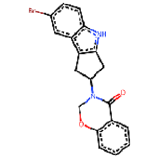 O=C1c2ccccc2OCN1C1Cc2[nH]c3ccc(Br)cc3c2C1